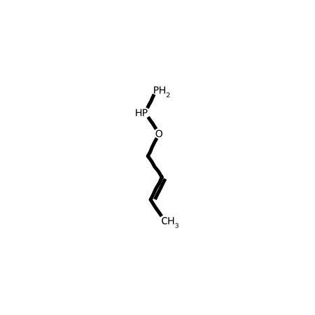 CC=CCOPP